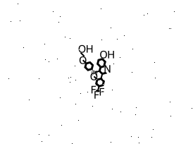 OCCOc1ccc([C@H]2Oc3cc(C(F)(F)F)ccc3-c3cnc4cc(O)ccc4c32)cc1